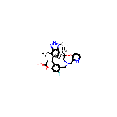 Cc1c([C@@H](CC(=O)O)c2ccc(F)c(CN3Cc4ncccc4OC(C)(C)C3)c2)ccc2c1nnn2C